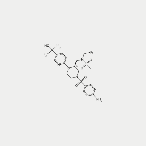 CC(C)CN(C[C@H]1CN(S(=O)(=O)c2ccc(N)nc2)CCN1c1ncc(C(O)(C(F)(F)F)C(F)(F)F)cn1)S(C)(=O)=O